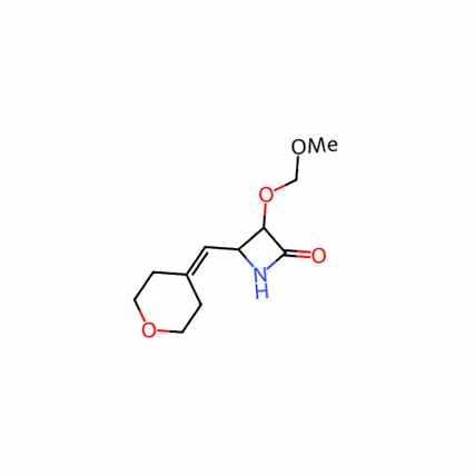 COCOC1C(=O)NC1C=C1CCOCC1